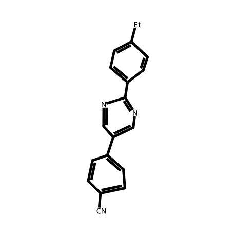 CCc1ccc(-c2ncc(-c3ccc(C#N)cc3)cn2)cc1